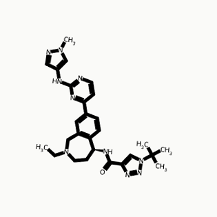 CCN1CC[C@H](NC(=O)c2cn(C(C)(C)C)nn2)c2ccc(-c3ccnc(Nc4cnn(C)c4)n3)cc2C1